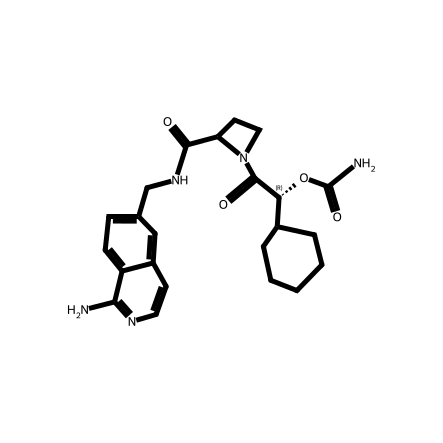 NC(=O)O[C@@H](C(=O)N1CCC1C(=O)NCc1ccc2c(N)nccc2c1)C1CCCCC1